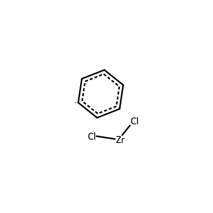 [Cl][Zr][Cl].[c]1ccccc1